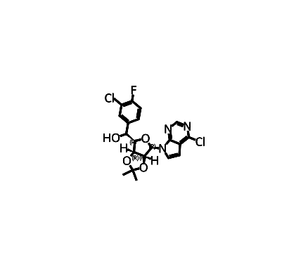 CC1(C)O[C@@H]2[C@H](O1)[C@@H](C(O)c1ccc(F)c(Cl)c1)O[C@H]2n1ccc2c(Cl)ncnc21